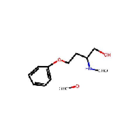 O=CNC(CO)CCOc1ccccc1.O=CO